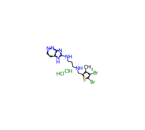 Cc1c(CNCCCNc2nc3nnccc3[nH]2)sc(Br)c1Br.Cl.Cl